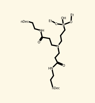 CCCCCCCCCCCCNC(=O)CCN(CCC[Si](O)(OCC)OCC)CCC(=O)NCCCCCCCCCCCC